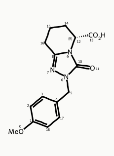 COc1ccc(Cn2nc3n(c2=O)[C@@H](C(=O)O)CCC3)cc1